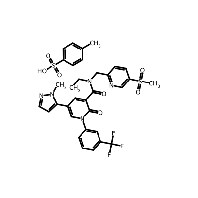 CCN(Cc1ccc(S(C)(=O)=O)cn1)C(=O)c1cc(-c2ccnn2C)cn(-c2cccc(C(F)(F)F)c2)c1=O.Cc1ccc(S(=O)(=O)O)cc1